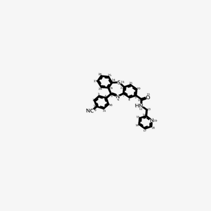 N#Cc1ccc(C2=Nc3cc(C(=O)NCc4ccccn4)ccc3Sc3ccccc32)cc1